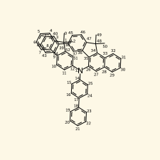 CC1(C)c2ccccc2-c2ccc(N(c3ccc(-c4ccccc4)cc3)c3cc4ccccc4c4c3-c3cc(-c5ccccc5)ccc3C4(C)C)cc21